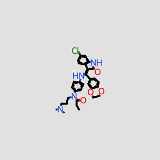 CCC(=O)N(CCCN(C)C)c1ccc(NC(=C2C(=O)Nc3cc(Cl)ccc32)c2ccc3c(c2)OCCO3)cc1